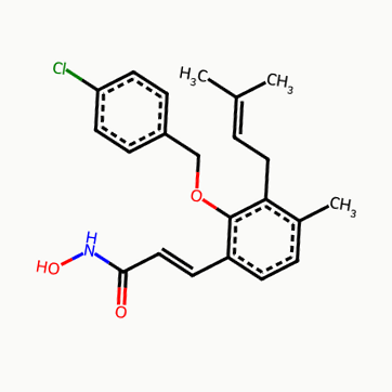 CC(C)=CCc1c(C)ccc(/C=C/C(=O)NO)c1OCc1ccc(Cl)cc1